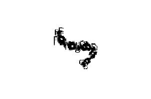 CS(=O)(=O)c1ccc(CN2CCN(C(=O)c3ccc4oc(C(=O)NC5CCN(Cc6ccc(OC(F)(F)F)c(F)c6)CC5)cc4c3)CC2)cc1